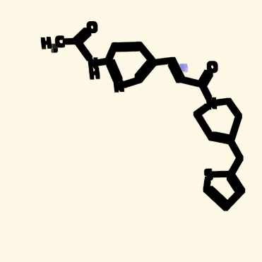 CC(=O)Nc1ccc(/C=C/C(=O)N2CC=C(Cc3cccs3)CC2)cn1